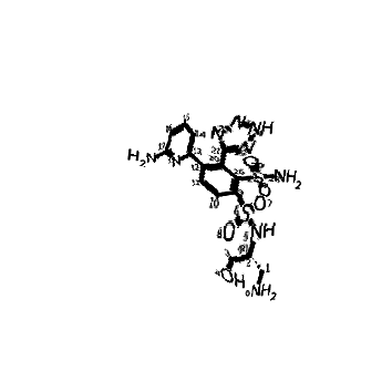 NC[C@H](CO)NS(=O)(=O)c1ccc(-c2cccc(N)n2)c(-c2nn[nH]n2)c1S(N)(=O)=O